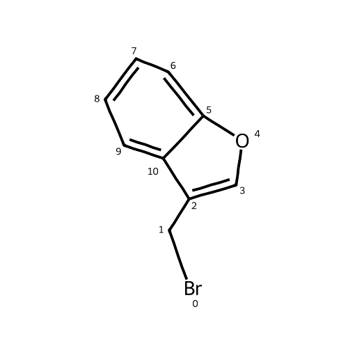 BrCc1coc2ccccc12